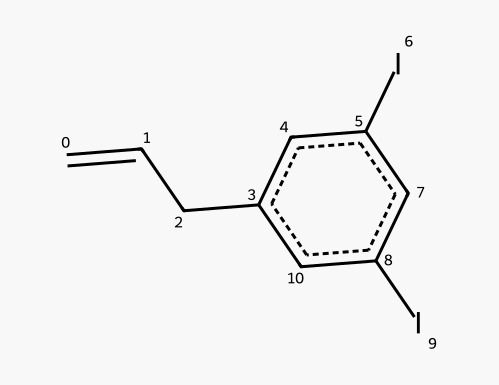 C=CCc1cc(I)cc(I)c1